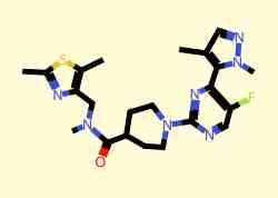 Cc1nc(CN(C)C(=O)C2CCN(c3ncc(F)c(-c4c(C)cnn4C)n3)CC2)c(C)s1